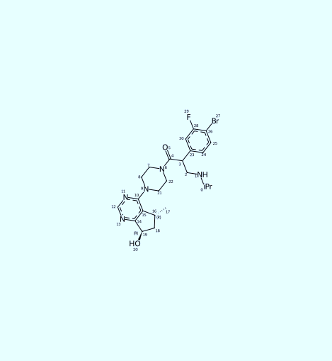 CC(C)NCC(C(=O)N1CCN(c2ncnc3c2[C@H](C)C[C@H]3O)CC1)c1ccc(Br)c(F)c1